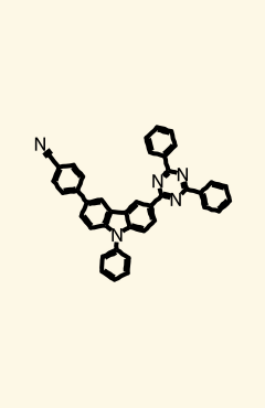 N#Cc1ccc(-c2ccc3c(c2)c2cc(-c4nc(-c5ccccc5)nc(-c5ccccc5)n4)ccc2n3-c2ccccc2)cc1